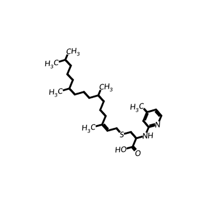 CC(=CCSCC(Nc1cc(C)ccn1)C(=O)O)CCCC(C)CCCC(C)CCCC(C)C